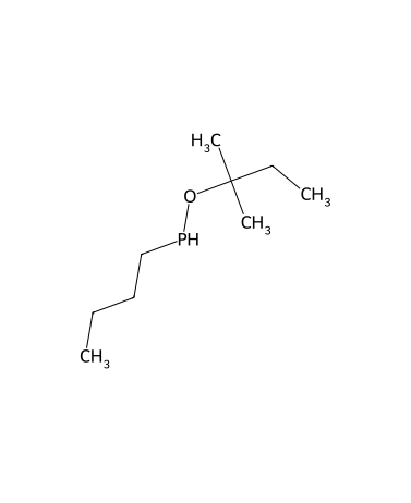 CCCCPOC(C)(C)CC